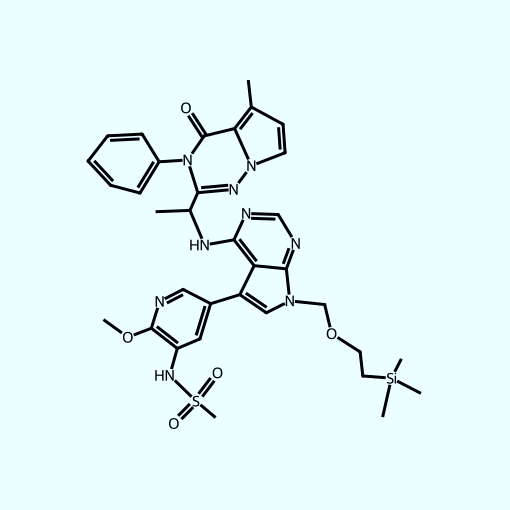 COc1ncc(-c2cn(COCC[Si](C)(C)C)c3ncnc(NC(C)c4nn5ccc(C)c5c(=O)n4-c4ccccc4)c23)cc1NS(C)(=O)=O